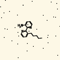 CCCCCc1cccnc1-c1ncccc1N